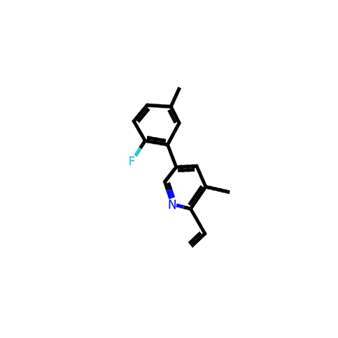 C=Cc1ncc(-c2cc(C)ccc2F)cc1C